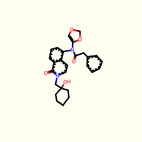 O=C(Cc1ccccc1)N(C1=COCO1)c1cccc2c(=O)n(CC3(O)CCCCC3)ccc12